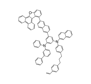 C=Cc1ccc(CCCc2ccc(N(c3cc(-c4ccc5cc(-c6cccc7oc8c9ccccc9c9ccccc9c8c67)ccc5c4)cc(N(c4ccccc4)c4cccc(-c5ccccc5)c4)c3)c3ccc4ccccc4c3)cc2)cc1